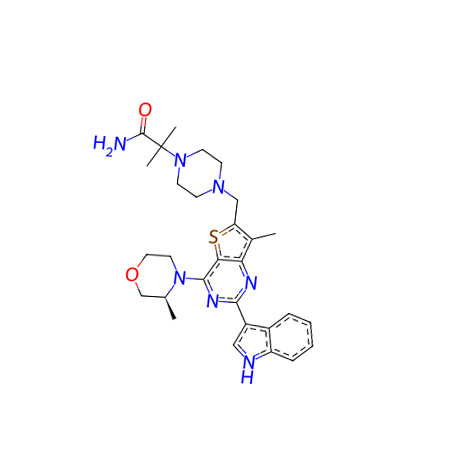 Cc1c(CN2CCN(C(C)(C)C(N)=O)CC2)sc2c(N3CCOC[C@@H]3C)nc(-c3c[nH]c4ccccc34)nc12